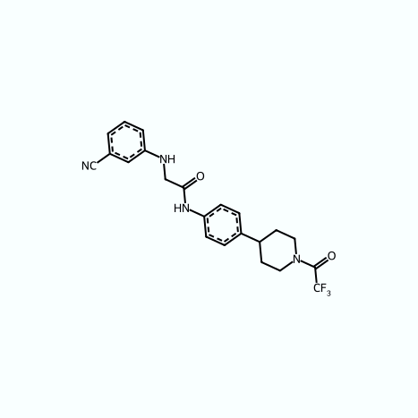 N#Cc1cccc(NCC(=O)Nc2ccc(C3CCN(C(=O)C(F)(F)F)CC3)cc2)c1